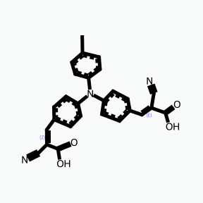 Cc1ccc(N(c2ccc(/C=C(/C#N)C(=O)O)cc2)c2ccc(/C=C(\C#N)C(=O)O)cc2)cc1